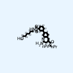 CCCN(CCC)C(=O)C1=Cc2ccc(-c3cccc(S(=O)(=O)NCCCCCCO)c3)cc2N=C(N)C1